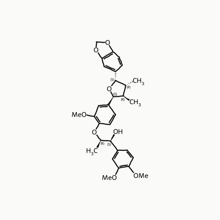 COc1ccc([C@H](O)[C@@H](C)Oc2ccc([C@H]3O[C@H](c4ccc5c(c4)OCO5)[C@H](C)[C@H]3C)cc2OC)cc1OC